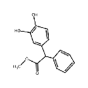 COC(=O)C(c1ccccc1)c1ccc(O)c(O)c1